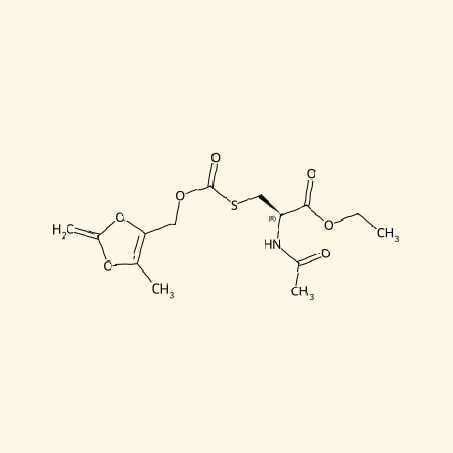 C=C1OC(C)=C(COC(=O)SC[C@H](NC(C)=O)C(=O)OCC)O1